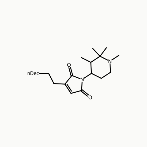 CCCCCCCCCCCCC1=CC(=O)N(C2CCN(C)C(C)(C)C2C)C1=O